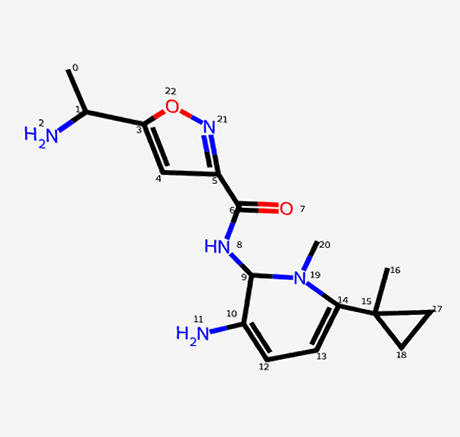 CC(N)c1cc(C(=O)NC2C(N)=CC=C(C3(C)CC3)N2C)no1